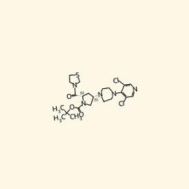 CC(C)(C)OC(=O)N1C[C@@H](N2CCN(c3c(Cl)cncc3Cl)CC2)C[C@H]1C(=O)N1CCSC1